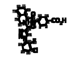 O=C(O)c1ccc(NC(=O)[C@@H]2c3ccccc3CCN2C(=O)c2cn(-c3cccc(Cl)c3F)nn2)cc1